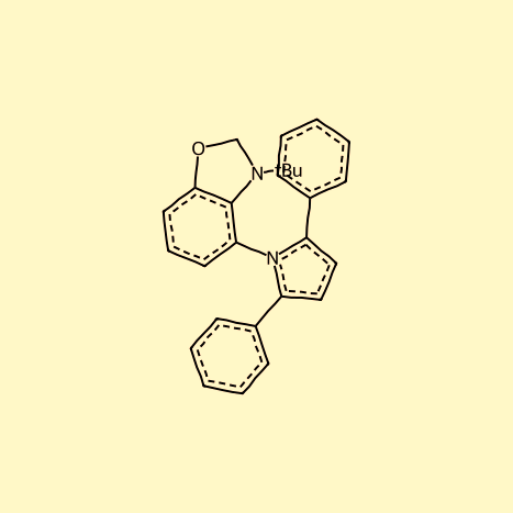 CC(C)(C)N1COc2cccc(-n3c(-c4ccccc4)ccc3-c3ccccc3)c21